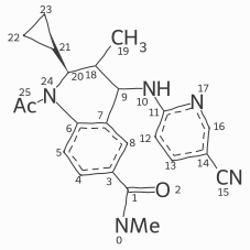 CNC(=O)c1ccc2c(c1)C(Nc1ccc(C#N)cn1)C(C)[C@H](C1CC1)N2C(C)=O